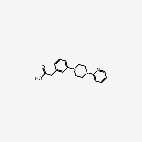 O=C(O)Cc1cccc(N2CCN(c3ccccn3)CC2)c1